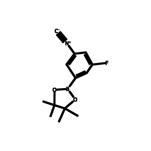 [C-]#[N+]c1cc(F)cc(B2OC(C)(C)C(C)(C)O2)c1